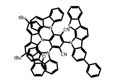 CC(C)(C)c1ccc2c(c1)c1cc(C(C)(C)C)c3c4ccccc4oc3c1n2-c1c(-n2c3ccccc3c3ccccc32)c(C#N)c(-n2c3ccc(-c4ccccc4)cc3c3ccc4c5ccccc5sc4c32)c(C#N)c1-n1c2ccccc2c2ccccc21